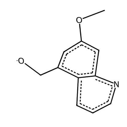 COc1cc(C[O])c2cccnc2c1